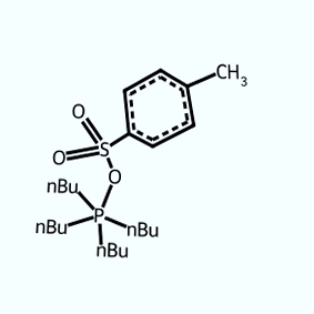 CCCCP(CCCC)(CCCC)(CCCC)OS(=O)(=O)c1ccc(C)cc1